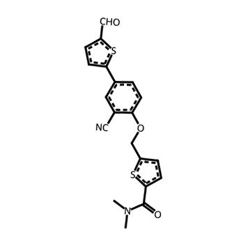 CN(C)C(=O)c1ccc(COc2ccc(-c3ccc(C=O)s3)cc2C#N)s1